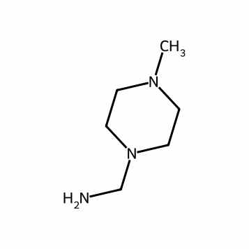 CN1CCN(CN)CC1